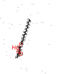 CCCCCCCCCCCCCCCCOCC(O)COC(=O)CCC